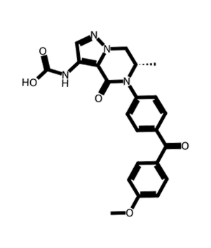 COc1ccc(C(=O)c2ccc(N3C(=O)c4c(NC(=O)O)cnn4C[C@@H]3C)cc2)cc1